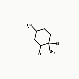 CCC1CC(N)CCC1(N)CC